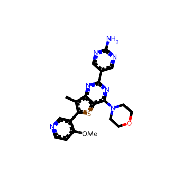 COc1ccncc1-c1sc2c(N3CCOCC3)nc(-c3cnc(N)nc3)nc2c1C